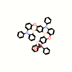 c1ccc(N2c3ccccc3B3c4cc5c(cc4Oc4cccc2c43)N(c2ccccc2)c2cccc3c2B5c2cc4c(cc2O3)N(c2ccccc2)c2cccc3c2B4c2ccccc2O3)cc1